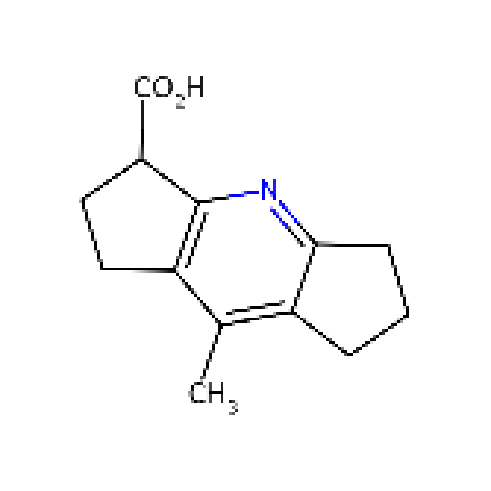 Cc1c2c(nc3c1CCC3C(=O)O)CCC2